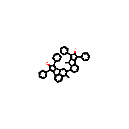 Cc1c(-c2cccc3c2C(C)C2=C(c4ccccc4)C(=O)C(c4ccccc4)=C23)cc2c3c(cccc13)C1=C(c3ccccc3)C(=O)C(c3ccccc3)=C12